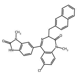 CN1C(=O)C(Cc2ccc3ccccc3c2)N=C(c2ccc3[nH]c(=O)n(C)c3c2)c2cc(Cl)ccc21